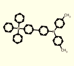 Cc1ccc(N(c2ccc(C)cc2)c2ccc(-c3ccc([Si](c4ccccc4)(c4ccccc4)c4ccccc4)cc3)cc2)cc1